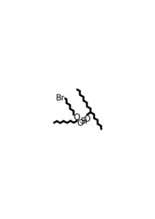 CCCCCCCCC(CCCCCC)CO[Si](C)(C)OC(CCCCCCC)OCCCCCCBr